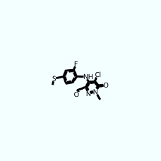 CSc1ccc(Nc2c(C=O)nn(C)c(=O)c2Cl)c(F)c1